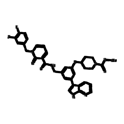 CC(C)(C)OC(=O)N1CCC(Oc2cc(CNC(=O)c3cccn(Cc4ccc(F)c(F)c4)c3=O)cc(-c3c[nH]c4ncccc34)c2)CC1